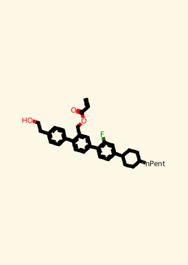 C=CC(=O)OCc1cc(-c2ccc(C3CCC(CCCCC)CC3)cc2F)ccc1-c1ccc(CCO)cc1